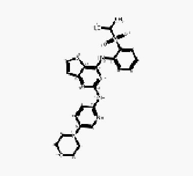 CC(C)S(=O)(=O)c1ccccc1Nc1nc(Nc2ccc(N3CCOCC3)cn2)nc2ccsc12